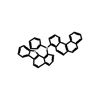 c1ccc(N(c2cccc3c2ccc2ccc4ccccc4c23)c2cccc3ccc4c5ccccc5sc4c23)cc1